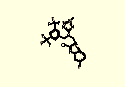 Cn1nnc(N(Cc2cc(C(F)(F)F)cc(C(F)(F)F)c2)Cc2cc3ccc(F)cc3nc2Cl)n1